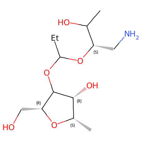 CCC(OC1[C@@H](CO)O[C@@H](C)[C@H]1O)O[C@@H](CN)C(C)O